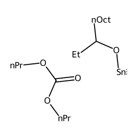 CCCCCCCCC(CC)[O][Sn].CCCOC(=O)OCCC